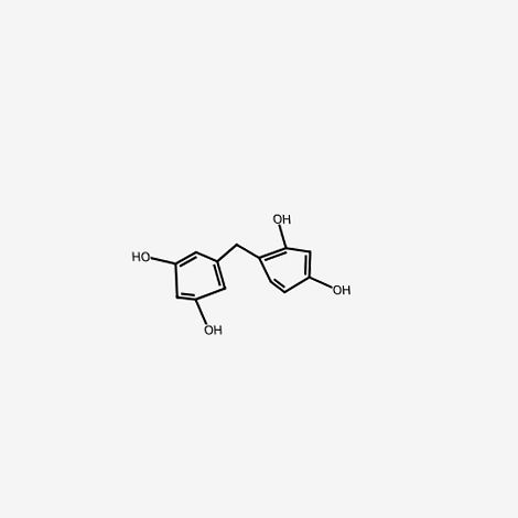 Oc1cc(O)cc(Cc2ccc(O)cc2O)c1